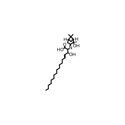 CCCCCCCCCCCCCC=CC(O)C(N=C1C[C@@H]2C[C@@H](C2(C)C)[C@]1(C)O)C(=O)O